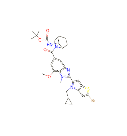 COc1cc(C(=O)N2CC3CCC2C3NC(=O)OC(C)(C)C)cc2nc(-c3cc4sc(Br)cc4n3CC3CC3)n(C)c12